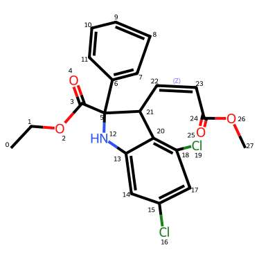 CCOC(=O)C1(c2ccccc2)Nc2cc(Cl)cc(Cl)c2C1/C=C\C(=O)OC